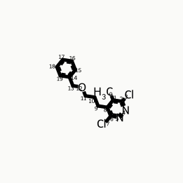 Cc1c(Cl)nnc(Cl)c1CCCOCc1ccccc1